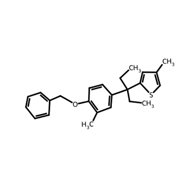 CCC(CC)(c1ccc(OCc2ccccc2)c(C)c1)c1cc(C)cs1